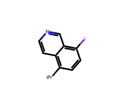 CC(C)c1ccc(I)c2cnccc12